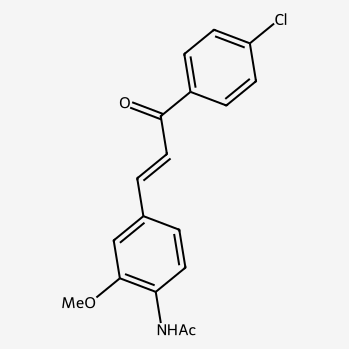 COc1cc(/C=C/C(=O)c2ccc(Cl)cc2)ccc1NC(C)=O